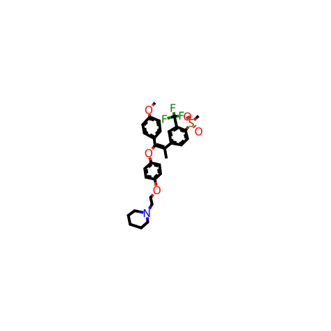 COc1ccc(/C(Oc2ccc(OCCN3CCCCC3)cc2)=C(/C)c2ccc(S(C)(=O)=O)c(C(F)(F)F)c2)cc1